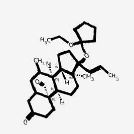 CC=CC1(OC2(OCC)CCCC2)CC[C@H]2[C@@H]3C(C)CC4CC(=O)CC[C@]4(C=O)[C@@H]3CC[C@@]21C